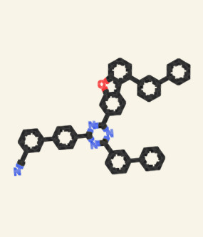 N#Cc1cccc(-c2ccc(-c3nc(-c4cccc(-c5ccccc5)c4)nc(-c4ccc5c(c4)oc4cccc(-c6cccc(-c7ccccc7)c6)c45)n3)cc2)c1